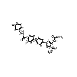 NC(=O)Nc1cn(-c2ccc(-c3ccc(C(=O)NCc4cccc(F)c4)c(F)c3)cc2)nc1C(N)=O